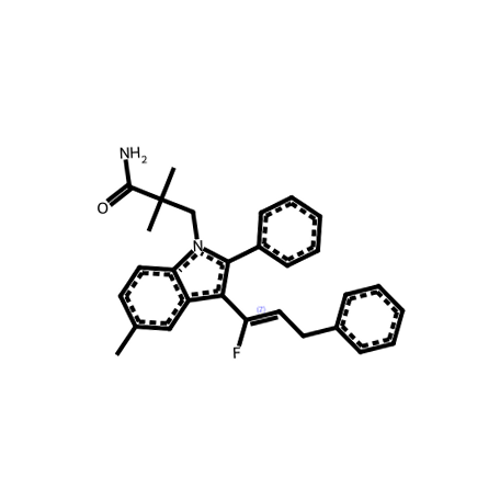 Cc1ccc2c(c1)c(/C(F)=C/Cc1ccccc1)c(-c1ccccc1)n2CC(C)(C)C(N)=O